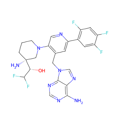 Nc1ncnc2c1ncn2Cc1cc(-c2cc(F)c(F)cc2F)ncc1N1CCC[C@](N)([C@H](O)C(F)F)C1